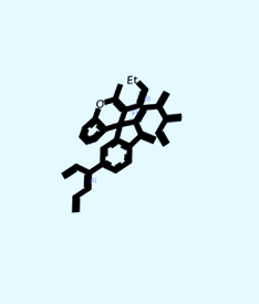 C=C/C=C(\C=C)c1ccc2c(c1)C1(C(/C=C\CC)=C(C)Oc3ccccc31)/C(=C/C(=C)C(=C)C=C)C2=C